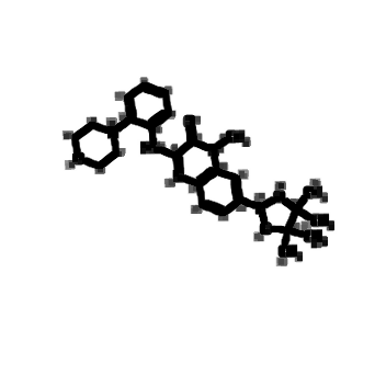 Cn1c(=O)c(Nc2ccccc2N2CCOCC2)nc2ccc(B3OC(C)(C)C(C)(C)O3)cc21